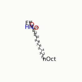 CCCCCCCCC=CCCCCCCCCCCCC(=O)NOCC